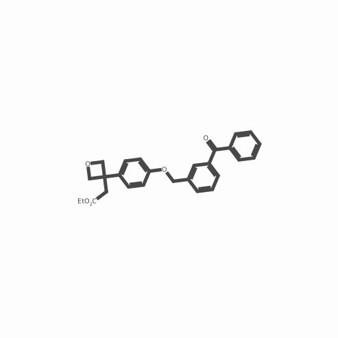 CCOC(=O)CC1(c2ccc(OCc3cccc(C(=O)c4ccccc4)c3)cc2)COC1